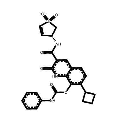 O=C(Nc1ccccc1)Oc1c(C2CCC2)ccc2cc(C(=O)N[C@@H]3C=CS(=O)(=O)C3)c(=O)[nH]c12